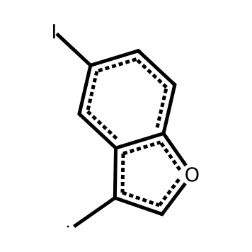 [CH2]c1coc2ccc(I)cc12